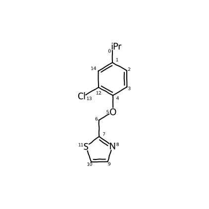 CC(C)c1ccc(OCc2nccs2)c(Cl)c1